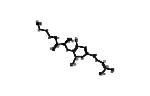 N[C@@H](Cc1c(Cl)cc(OCC=C(Cl)Cl)cc1Cl)C(=O)OCCCO